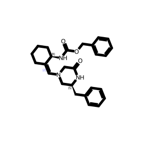 O=C1CN(/C=C2/CCCC[C@H]2NC(=O)OCc2ccccc2)C[C@H](Cc2ccccc2)N1